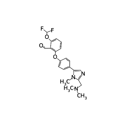 CN(C)Cc1ncc(-c2ccc(Oc3cccc(OC(F)F)c3C=O)cc2)n1C